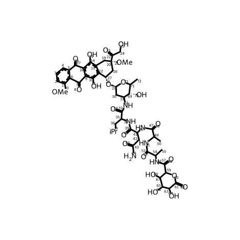 COc1cccc2c1C(=O)c1c(O)c3c(c(O)c1C2=O)C[C@@](OC)(C(=O)CO)C[C@@H]3O[C@@H]1CC(NC(=O)C(CC(C)C)NC(=O)C(CC(N)=O)NC(=O)C(C)NC(=O)C(C)NC(=O)C2OC(=O)C(O)C(O)C2O)[C@@H](O)C(C)O1